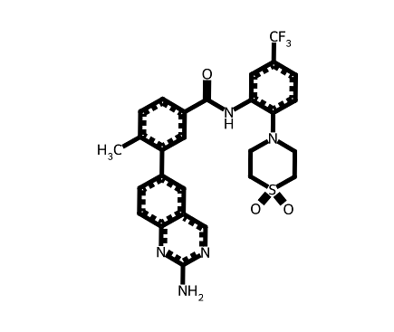 Cc1ccc(C(=O)Nc2cc(C(F)(F)F)ccc2N2CCS(=O)(=O)CC2)cc1-c1ccc2nc(N)ncc2c1